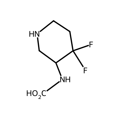 O=C(O)NC1CNCCC1(F)F